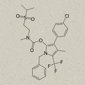 Cc1c(-c2ccc(Cl)cc2)c(OC(=O)N(C)CCS(=O)(=O)C(C)C)n(Cc2ccccc2)c1C(F)(F)F